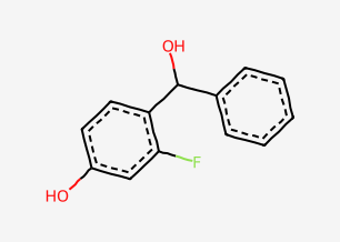 Oc1ccc(C(O)c2ccccc2)c(F)c1